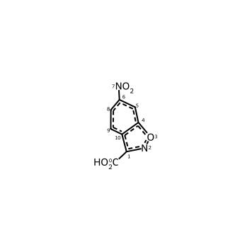 O=C(O)c1noc2cc([N+](=O)[O-])ccc12